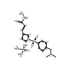 CN(C)Cc1ccc(S(=O)(=O)n2ccc(C=CC(=O)NO)c2)cc1.O=P(O)(O)O